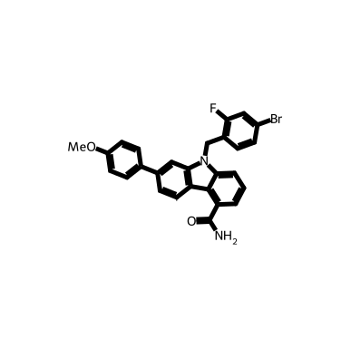 COc1ccc(-c2c[c]c3c4c(C(N)=O)cccc4n(Cc4ccc(Br)cc4F)c3c2)cc1